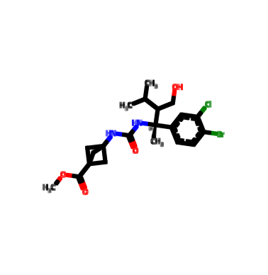 COC(=O)C12CC(NC(=O)N[C@@](C)(c3ccc(Br)c(Cl)c3)C(CO)C(C)C)(C1)C2